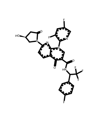 O=C(NC(c1ccc(F)cc1)C(F)(F)F)c1cn(-c2ncc(F)cc2F)c2nc(N3C[C@@H](O)CC3=O)ccc2c1=O